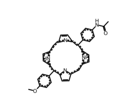 COc1ccc(-c2c3nc(cc4ccc([nH]4)c(-c4ccc(NC(C)=O)cc4)c4nc(cc5ccc2[nH]5)C=C4)C=C3)cc1